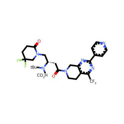 CC(C)(C)N(C(=O)O)[C@@H](CC(=O)N1CCc2c(nc(-c3ccncc3)nc2C(F)(F)F)C1)CN1CC(F)(F)CCC1=O